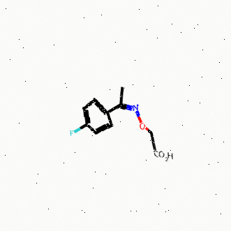 C/C(=N/OCC(=O)O)c1ccc(F)cc1